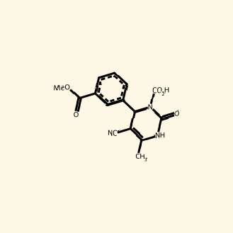 COC(=O)c1cccc(C2C(C#N)=C(C)NC(=O)N2C(=O)O)c1